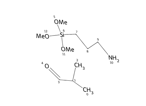 CC(C)C=O.CO[Si](CCCN)(OC)OC